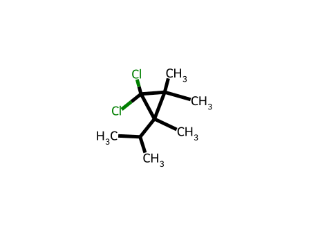 CC(C)C1(C)C(C)(C)C1(Cl)Cl